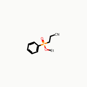 CCOP(=O)(CCC#N)c1ccccc1